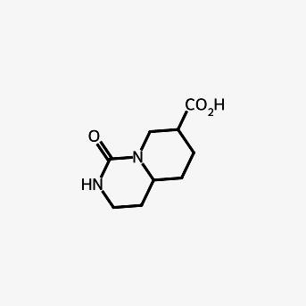 O=C(O)C1CCC2CCNC(=O)N2C1